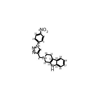 O=[N+]([O-])c1ccc(-n2cc(CN3CCc4c([nH]c5ccccc45)C3)nn2)cc1